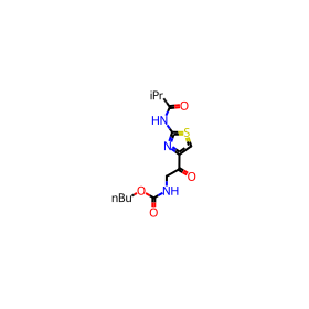 CCCCOC(=O)NCC(=O)c1csc(NC(=O)C(C)C)n1